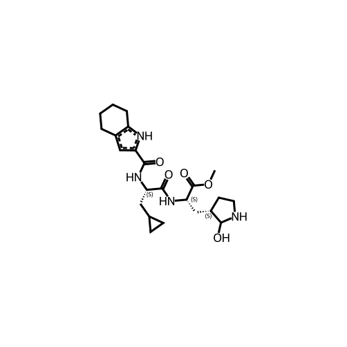 COC(=O)[C@H](C[C@@H]1CCNC1O)NC(=O)[C@H](CC1CC1)NC(=O)c1cc2c([nH]1)CCCC2